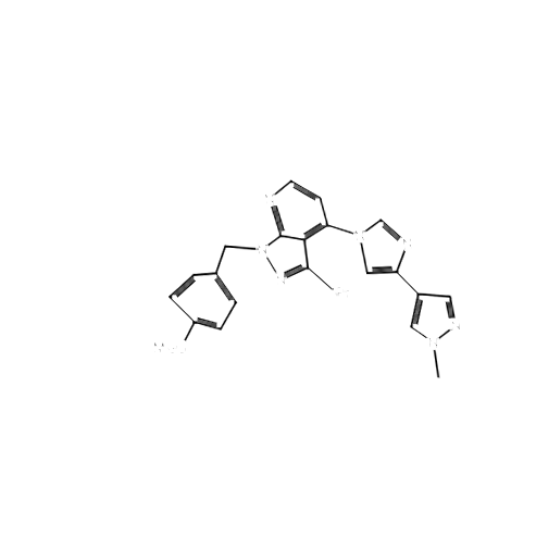 COc1ccc(Cn2nc(C(C)C)c3c(-n4cnc(-c5cnn(C)c5)c4)ccnc32)cc1